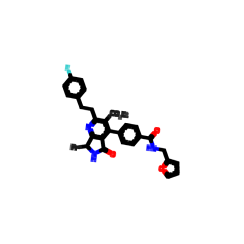 CCOC(=O)c1c(CCc2ccc(F)cc2)nc2c(c1-c1ccc(C(=O)NCc3ccco3)cc1)C(=O)NC2C(C)C